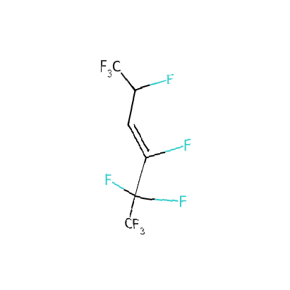 FC(=CC(F)C(F)(F)F)C(F)(F)C(F)(F)F